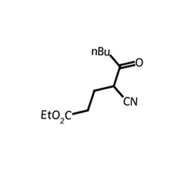 CCCCC(=O)C(C#N)CCC(=O)OCC